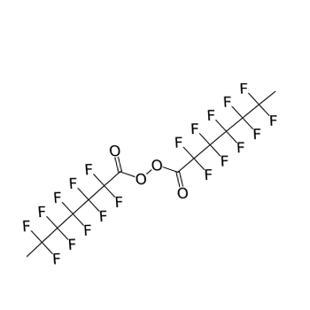 CC(F)(F)C(F)(F)C(F)(F)C(F)(F)C(F)(F)C(=O)OOC(=O)C(F)(F)C(F)(F)C(F)(F)C(F)(F)C(C)(F)F